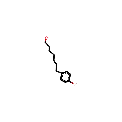 [O]CCCCCCCc1ccc(Br)cc1